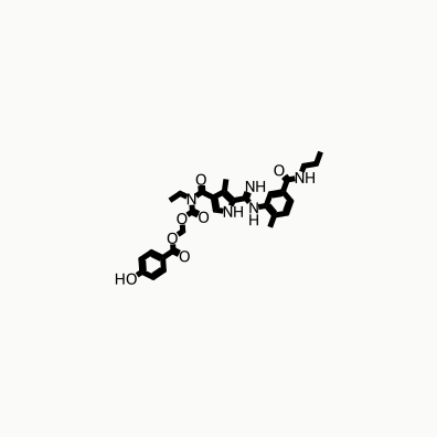 CCCNC(=O)c1ccc(C)c(NC(=N)c2[nH]cc(C(=O)N(CC)C(=O)OCOC(=O)c3ccc(O)cc3)c2C)c1